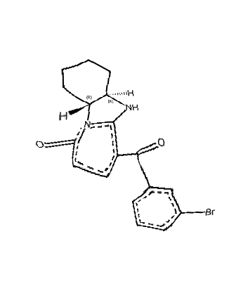 O=C(c1cccc(Br)c1)c1ccc(=O)n2c1N[C@@H]1CCCC[C@H]12